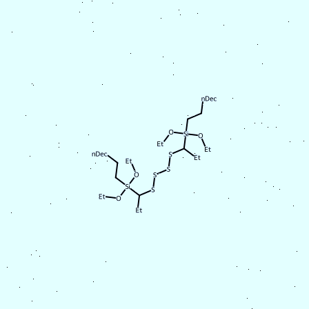 CCCCCCCCCCCC[Si](OCC)(OCC)C(CC)SSSSC(CC)[Si](CCCCCCCCCCCC)(OCC)OCC